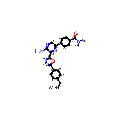 CNCc1ccc(-c2nnc(-c3nc(-c4ccc(C(=O)N(C)C)cc4)cnc3N)o2)cc1